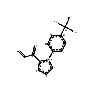 O=CC(=O)c1cccn1-c1ccc(C(F)(F)F)cc1